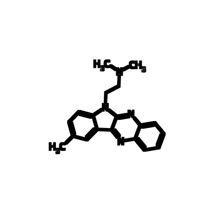 Cc1ccc2c(c1)c1nc3ccccc3nc1n2CCN(C)C